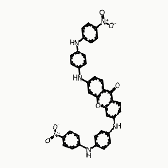 O=c1c2ccc(Nc3ccc(Nc4ccc([N+](=O)[O-])cc4)cc3)cc2oc2cc(Nc3ccc(Nc4ccc([N+](=O)[O-])cc4)cc3)ccc12